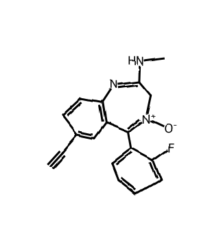 C#Cc1ccc2c(c1)C(c1ccccc1F)=[N+]([O-])CC(NC)=N2